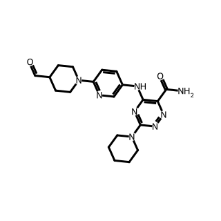 NC(=O)c1nnc(N2CCCCC2)nc1Nc1ccc(N2CCC(C=O)CC2)nc1